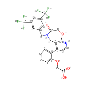 O=C(O)COc1ccccc1-c1ccnc2c1CN(Cc1cc(C(F)(F)F)cc(C(F)(F)F)c1)C(=O)CO2